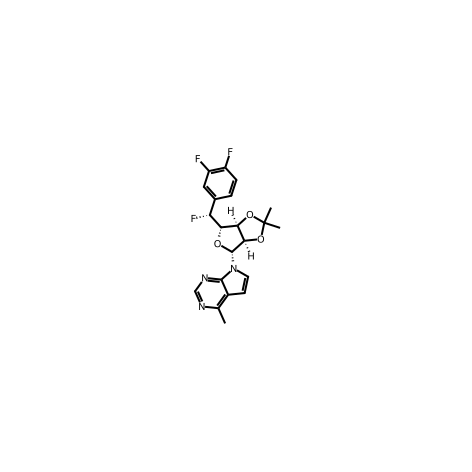 Cc1ncnc2c1ccn2[C@@H]1O[C@H]([C@H](F)c2ccc(F)c(F)c2)[C@H]2OC(C)(C)O[C@H]21